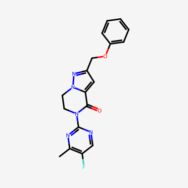 Cc1nc(N2CCn3nc(COc4ccccc4)cc3C2=O)ncc1F